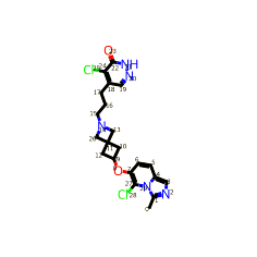 Cc1ncc2ccc(OC3CC4(C3)CN(CCCc3cn[nH]c(=O)c3Cl)C4)c(Cl)n12